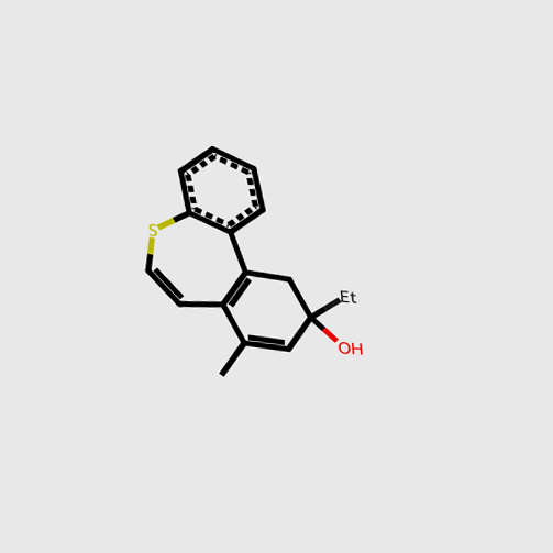 CCC1(O)C=C(C)C2=C(C1)c1ccccc1SC=C2